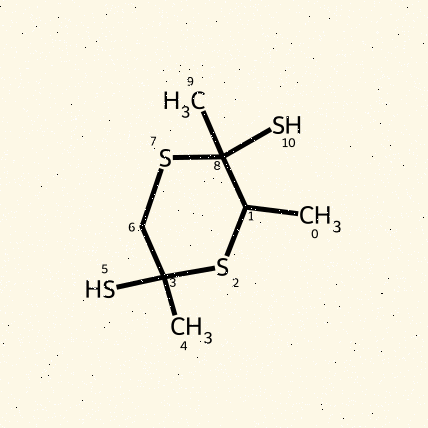 CC1SC(C)(S)CSC1(C)S